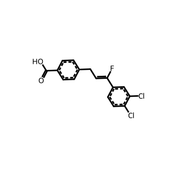 O=C(O)c1ccc(CC=C(F)c2ccc(Cl)c(Cl)c2)cc1